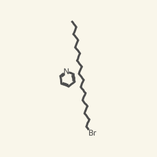 CCCCCCCCCCCCCCCCCBr.c1ccncc1